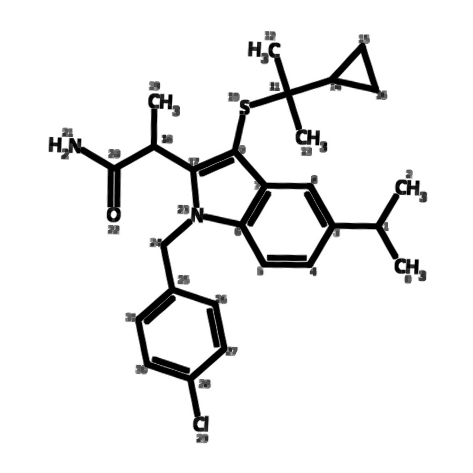 CC(C)c1ccc2c(c1)c(SC(C)(C)C1CC1)c(C(C)C(N)=O)n2Cc1ccc(Cl)cc1